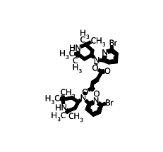 CC1(C)CC(N(OC(=O)/C=C/C(=O)ON(c2cccc(Br)n2)C2CC(C)(C)NC(C)(C)C2)c2cccc(Br)n2)CC(C)(C)N1